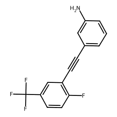 Nc1cccc(C#Cc2cc(C(F)(F)F)ccc2F)c1